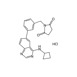 Cl.O=C1CCC(=O)N1Cc1cccc(-c2ccc3ncnc(NC4CCC4)c3c2)c1